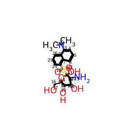 CN(C)c1cccc2c(S(=O)(=O)C3(O)O[C@H](CO)[C@@H](O)[C@H](O)[C@@H]3N)cccc12